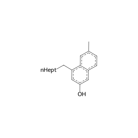 CCCCCCCCc1cc(O)cc2ccc(C)cc12